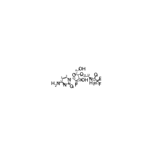 Nc1ccn([C@@H]2O[C@@](CO)(OCCNC(=O)C(F)(F)F)[C@@H](O)[C@@H]2F)c(=O)n1